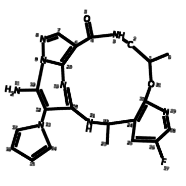 CC1CNC(=O)c2cnn3c(N)c(-n4cccc4)c(nc23)NC(C)c2cc(F)cnc2O1